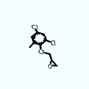 Cc1cc(Cl)cc(Cl)c1OCC1CO1